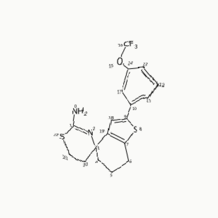 NC1=NC2(CCCc3sc(-c4cccc(OC(F)(F)F)c4)cc32)CCS1